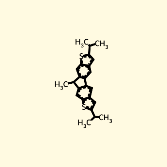 CC(C)c1cc2cc3c(cc2s1)C(C)c1cc2sc(C(C)C)cc2cc1-3